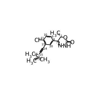 C[C@@H]1OC(=O)NN=C1c1ccc(Cl)c(C#C[Si](C)(C)C)c1